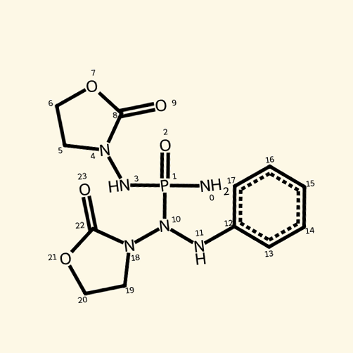 NP(=O)(NN1CCOC1=O)N(Nc1ccccc1)N1CCOC1=O